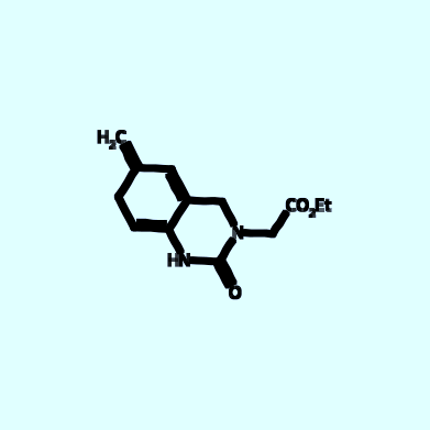 C=C1C=C2CN(CC(=O)OCC)C(=O)NC2=CC1